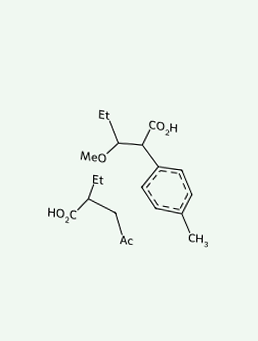 CCC(CC(C)=O)C(=O)O.CCC(OC)C(C(=O)O)c1ccc(C)cc1